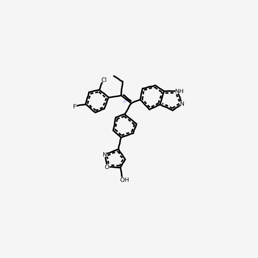 CC/C(=C(/c1ccc(-c2cc(O)on2)cc1)c1ccc2[nH]ncc2c1)c1ccc(F)cc1Cl